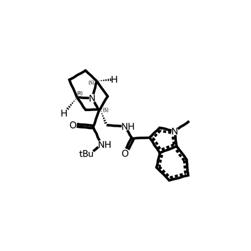 Cn1cc(C(=O)NC[C@@H]2C[C@H]3CC[C@@H](C2)N3CC(=O)NC(C)(C)C)c2ccccc21